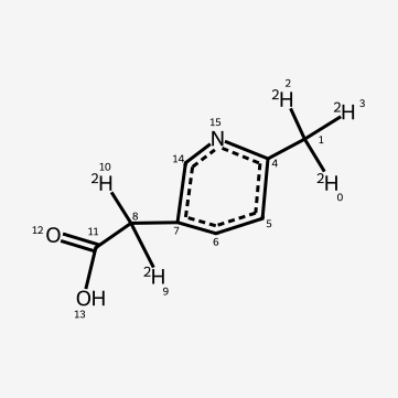 [2H]C([2H])([2H])c1ccc(C([2H])([2H])C(=O)O)cn1